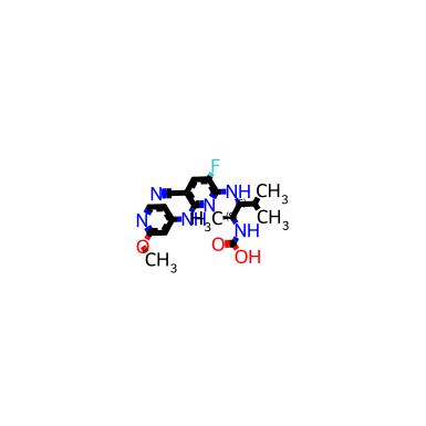 COc1cc(Nc2nc(N[C@@H](C(C)C)[C@H](C)NC(=O)O)c(F)cc2C#N)ccn1